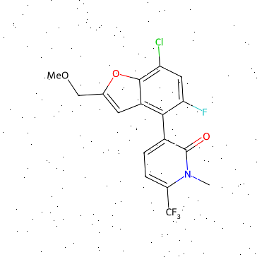 COCc1cc2c(-c3ccc(C(F)(F)F)n(C)c3=O)c(F)cc(Cl)c2o1